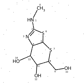 CNC1=NC2C(S1)SC(CO)C(O)C2O